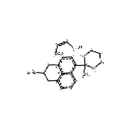 CNC1Cc2cccc3c(C4(C)OCCCO4)ccc(c23)C1.O=C(O)/C=C\C(=O)O